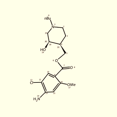 CCCCN1CC[C@@H](COC(=O)c2cc(Cl)c(N)cc2OC)[C@@H](O)C1